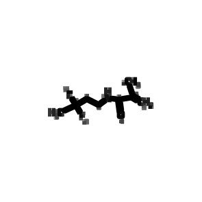 C=C(C)C(=O)NCCC(C)(F)F